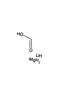 O=CO.[LiH].[MgH2]